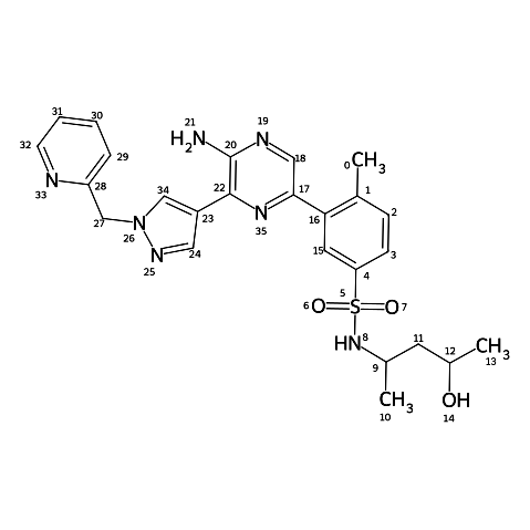 Cc1ccc(S(=O)(=O)NC(C)CC(C)O)cc1-c1cnc(N)c(-c2cnn(Cc3ccccn3)c2)n1